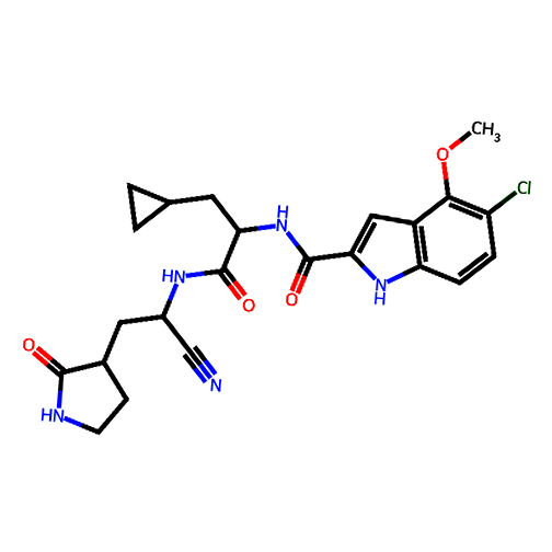 COc1c(Cl)ccc2[nH]c(C(=O)NC(CC3CC3)C(=O)NC(C#N)CC3CCNC3=O)cc12